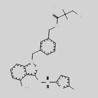 COc1cccc2c1c(NS(=O)(=O)c1ccc(Cl)s1)nn2Cc1cccc(CNC(=O)C(C)(C)CN)c1